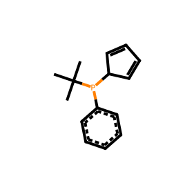 CC(C)(C)P(c1ccccc1)C1C=CC=C1